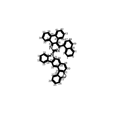 c1ccc2c(-c3nc(-n4c5ccccc5c5cc6c(ccc7oc8ccccc8c76)cc54)nc4c5ccccc5c5ccccc5c34)cccc2c1